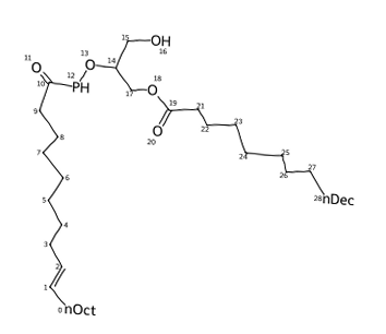 CCCCCCCCC=CCCCCCCCC(=O)POC(CO)COC(=O)CCCCCCCCCCCCCCCCC